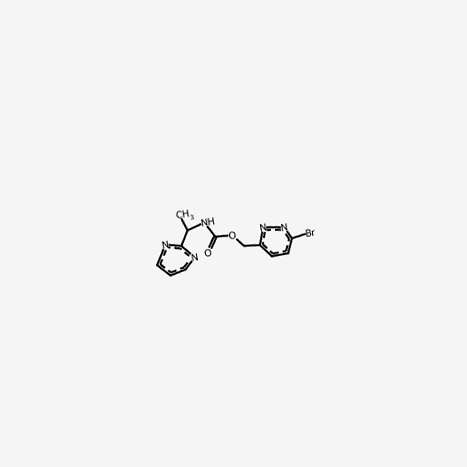 CC(NC(=O)OCc1ccc(Br)nn1)c1ncccn1